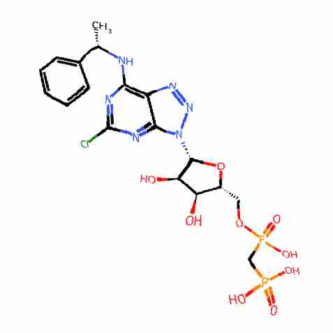 C[C@H](Nc1nc(Cl)nc2c1nnn2[C@@H]1O[C@H](COP(=O)(O)CP(=O)(O)O)[C@@H](O)[C@H]1O)c1ccccc1